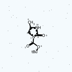 Cc1cn(C(=O)OC(C)(C)C)c(=O)[nH]1